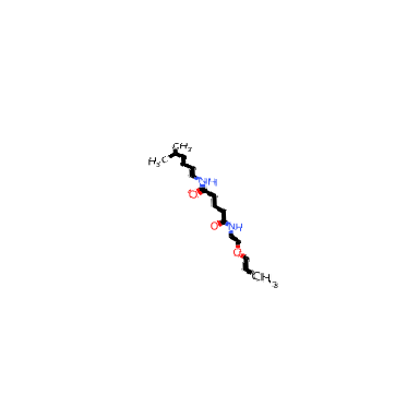 CCCOCCNC(=O)CCCC(=O)NCCCCC(C)C